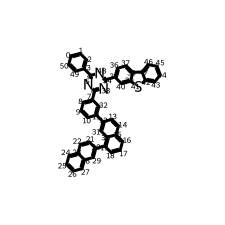 c1ccc(-c2nc(-c3cccc(-c4ccc5cccc(-c6ccc7ccccc7c6)c5c4)c3)nc(-c3ccc4c(c3)sc3ccccc34)n2)cc1